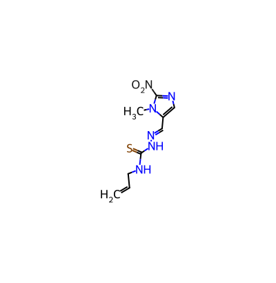 C=CCNC(=S)NN=Cc1cnc([N+](=O)[O-])n1C